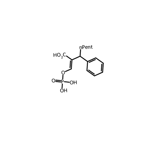 CCCCCC(C(=COP(=O)(O)O)C(=O)O)c1ccccc1